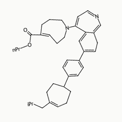 CCCOC(=O)/C1=C\CCN(C2=CC=NC=C3CC=C(c4ccc(C5CCC=C(CC(C)C)CC5)cc4)C=C32)CCC1